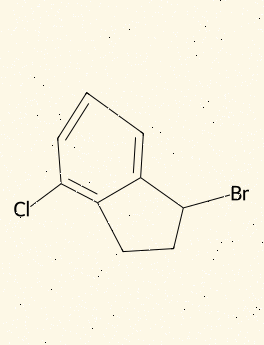 Clc1cccc2c1CCC2Br